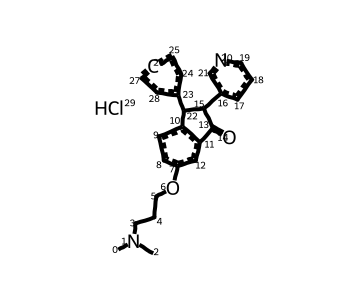 CN(C)CCCOc1ccc2c(c1)C(=O)C(c1cccnc1)C2c1ccccc1.Cl